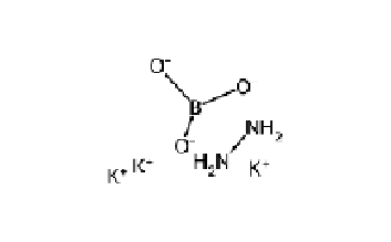 NN.[K+].[K+].[K+].[O-]B([O-])[O-]